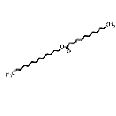 CCCCCCCCCCCCCOC(=O)CCCCCCCCCCC